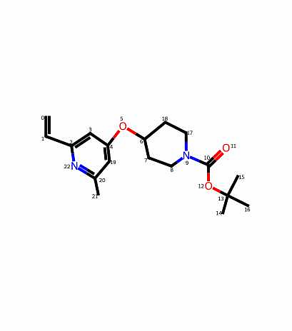 C=Cc1cc(OC2CCN(C(=O)OC(C)(C)C)CC2)cc(C)n1